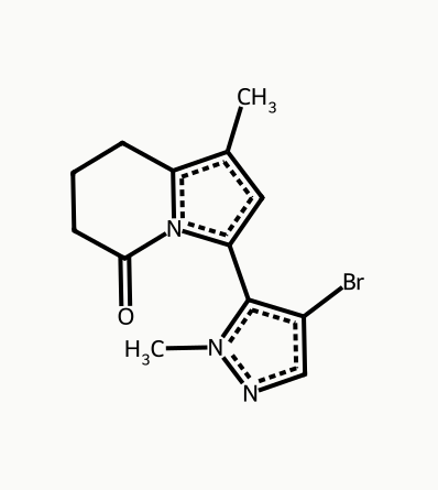 Cc1cc(-c2c(Br)cnn2C)n2c1CCCC2=O